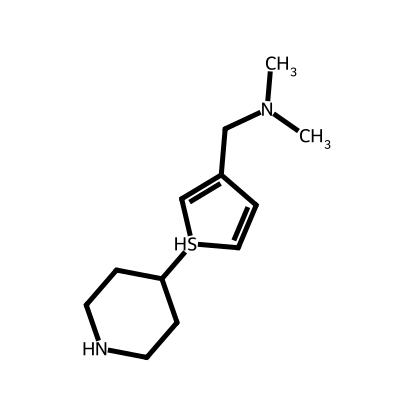 CN(C)CC1=C[SH](C2CCNCC2)C=C1